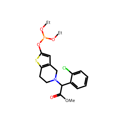 CCOP(OCC)Oc1cc2c(s1)CCN(C(C(=O)OC)c1ccccc1Cl)C2